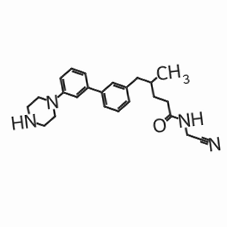 CC(CCC(=O)NCC#N)Cc1cccc(-c2cccc(N3CCNCC3)c2)c1